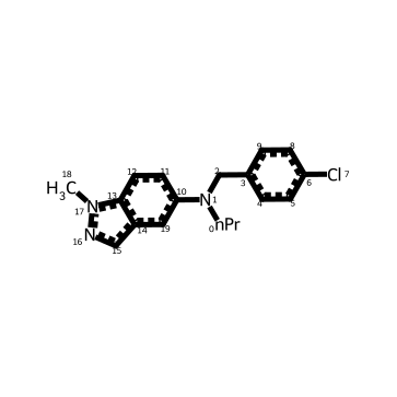 CCCN(Cc1ccc(Cl)cc1)c1ccc2c(cnn2C)c1